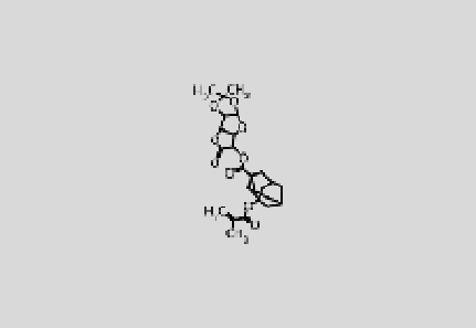 C=C(C)C(=O)OC12CC3CC(C1)CC(C(=O)OC1C(=O)OC4C5OC(C)(C)OC5OC14)(C3)C2